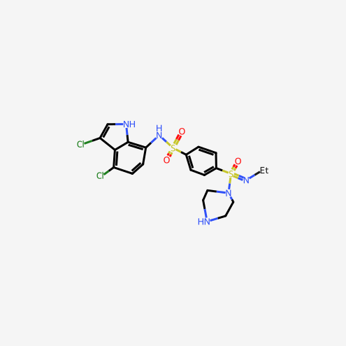 CCN=S(=O)(c1ccc(S(=O)(=O)Nc2ccc(Cl)c3c(Cl)c[nH]c23)cc1)N1CCNCC1